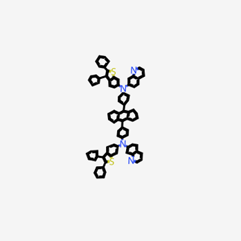 c1ccc(-c2sc3cc(N(c4ccc(-c5c6ccccc6c(-c6ccc(N(c7ccc8cccnc8c7)c7ccc8c(-c9ccccc9)c(-c9ccccc9)sc8c7)cc6)c6ccccc56)cc4)c4ccc5cccnc5c4)ccc3c2-c2ccccc2)cc1